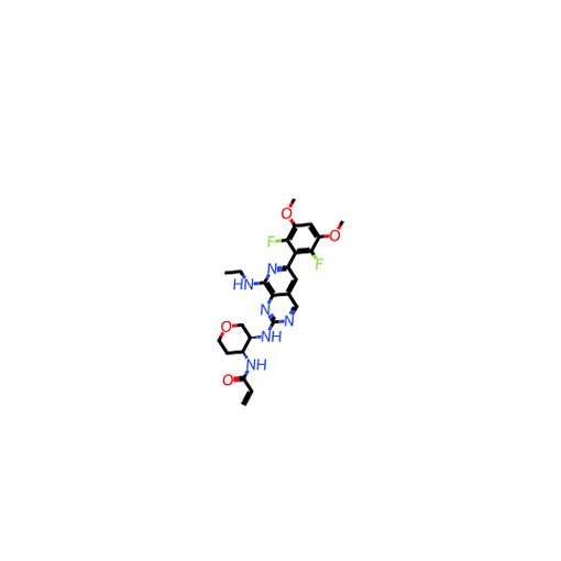 C=CC(=O)N[C@H]1CCOC[C@H]1Nc1ncc2cc(-c3c(F)c(OC)cc(OC)c3F)nc(NCC)c2n1